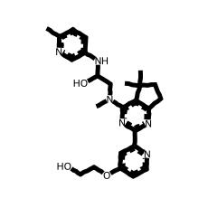 Cc1ccc(NC(O)CN(C)c2nc(-c3cc(OCCO)ccn3)nc3c2C(C)(C)CC3)cn1